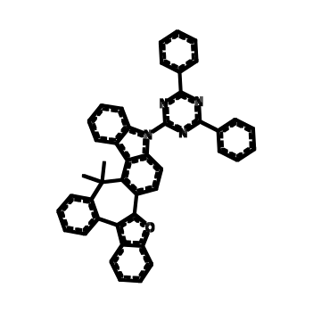 CC1(C)c2ccccc2-c2c(oc3ccccc23)-c2ccc3c(c21)c1ccccc1n3-c1nc(-c2ccccc2)nc(-c2ccccc2)n1